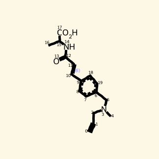 C#CCN(C)Cc1ccc(/C=C/C(=O)NC(C)C(=O)O)cc1